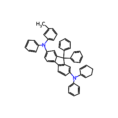 Cc1cccc(N(c2ccccc2)c2ccc3c(c2)C(c2ccccc2)(c2ccccc2)c2cc(N(C4=CCCC=C4)c4ccccc4)ccc2-3)c1